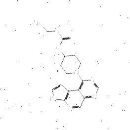 CN(CC#N)C(=O)OC1CCN(c2ncnc3cnc4[nH]ccc4c23)CC1